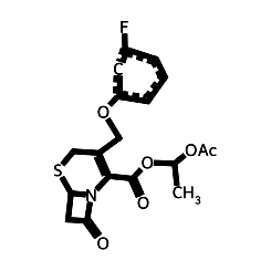 CC(=O)OC(C)OC(=O)C1=C(COc2cccc(F)c2)CSC2CC(=O)N12